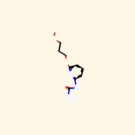 COCCCOc1cccc(NC(N)=O)n1